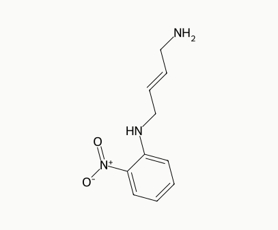 NCC=CCNc1ccccc1[N+](=O)[O-]